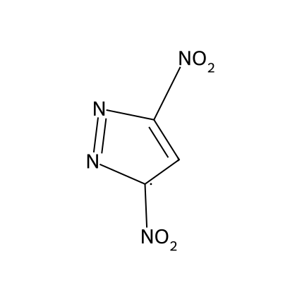 O=[N+]([O-])[C]1C=C([N+](=O)[O-])N=N1